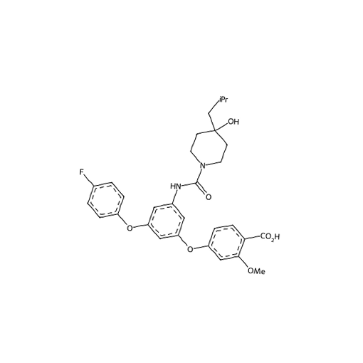 COc1cc(Oc2cc(NC(=O)N3CCC(O)(CC(C)C)CC3)cc(Oc3ccc(F)cc3)c2)ccc1C(=O)O